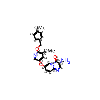 COc1ccc(COc2ncc(Oc3ccc4ncc(N)c(=O)n4c3)cc2OC)cc1